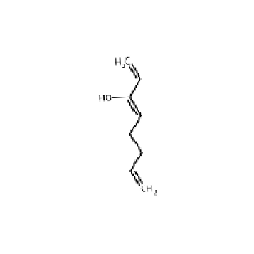 C=CCCC=C(O)C=C